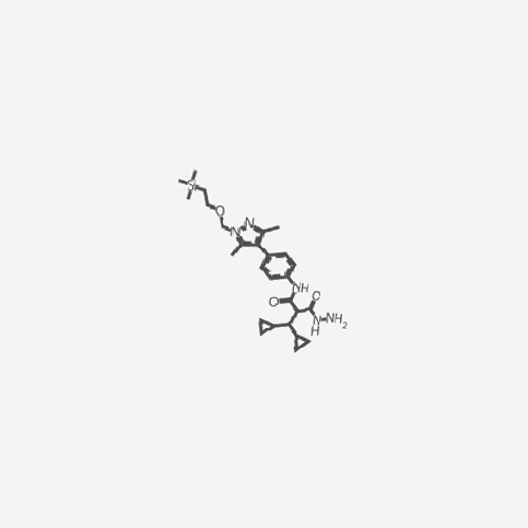 Cc1nn(COCC[Si](C)(C)C)c(C)c1-c1ccc(NC(=O)C(C(=O)NN)C(C2CC2)C2CC2)cc1